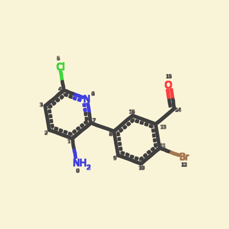 Nc1ccc(Cl)nc1-c1ccc(Br)c(C=O)c1